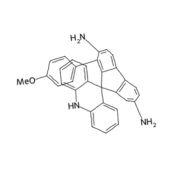 COc1ccc(-c2c(N)ccc3c2C2(c4ccccc4Nc4ccccc42)c2cc(N)ccc2-3)cc1